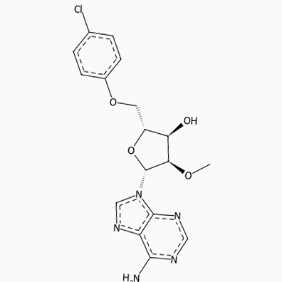 CO[C@@H]1[C@H](O)[C@@H](COc2ccc(Cl)cc2)O[C@H]1n1cnc2c(N)ncnc21